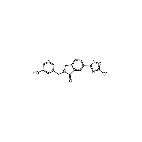 O=C1c2cc(-c3noc(C(F)(F)F)n3)ccc2CN1Cc1cncc(O)c1